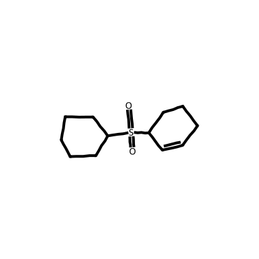 O=S(=O)(C1C=CCCC1)C1CCCCC1